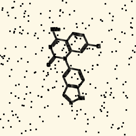 CNc1nc(=O)n(-c2ccc3[nH]ncc3c2)c2cc(Cl)ccc12